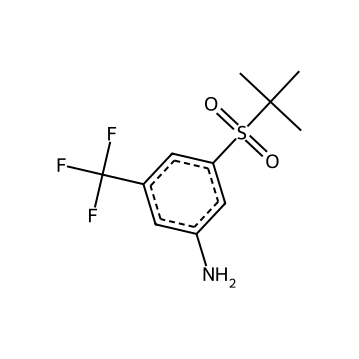 CC(C)(C)S(=O)(=O)c1cc(N)cc(C(F)(F)F)c1